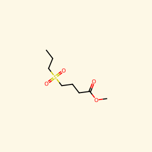 CCCS(=O)(=O)CCCC(=O)OC